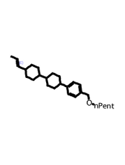 C/C=C/C1CCC(C2CCC(c3ccc(COCCCCC)cc3)CC2)CC1